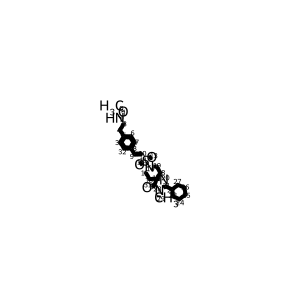 CONCCc1ccc(/C=C/S(=O)(=O)N2CCC3(CC2)N=C(C2CCCCC2)N(C)C3=O)cc1